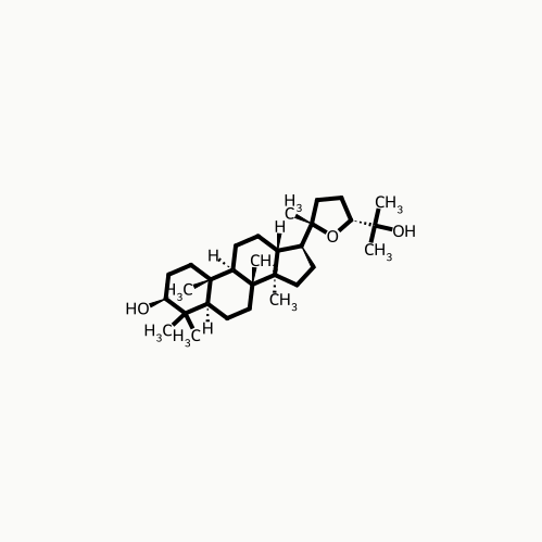 CC(C)(O)[C@H]1CC[C@@](C)([C@H]2CC[C@]3(C)[C@@H]2CC[C@@H]2[C@@]4(C)CC[C@H](O)C(C)(C)[C@@H]4CC[C@]23C)O1